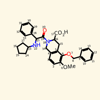 COc1ccc2c(c1OCc1ccccc1)CC(C(=O)O)N(C(=O)C(NC1CCCC1)c1ccccc1)C2